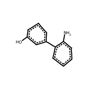 Nc1[c]cccc1-c1cccc(O)c1